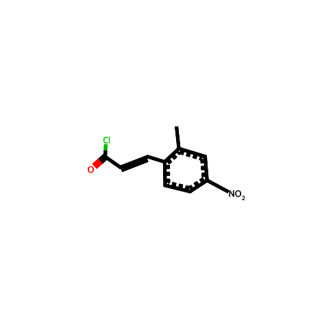 Cc1cc([N+](=O)[O-])ccc1/C=C/C(=O)Cl